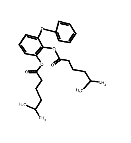 CC(C)CCCC(=O)Oc1cccc(Oc2ccccc2)c1OC(=O)CCCC(C)C